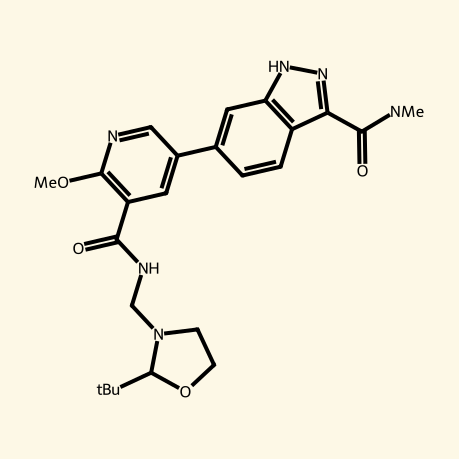 CNC(=O)c1n[nH]c2cc(-c3cnc(OC)c(C(=O)NCN4CCOC4C(C)(C)C)c3)ccc12